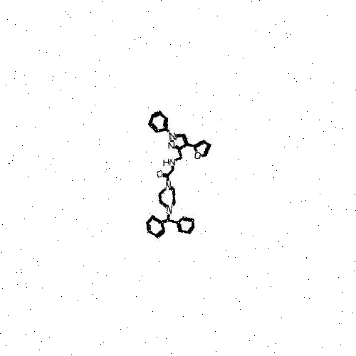 O=C(CNCc1nn(-c2ccccc2)cc1-c1ccco1)N1CCN(C(c2ccccc2)c2ccccc2)CC1